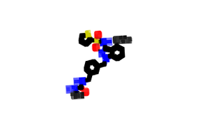 COc1cccc2c1c(NS(=O)(=O)c1cccs1)nn2Cc1cccc(CNC(=O)NC(C)(C)C)c1